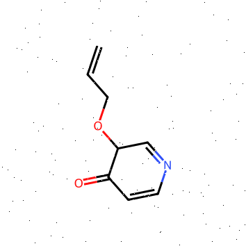 C=CCOC1C=NC=CC1=O